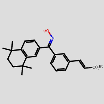 CCOC(=O)/C=C/c1cccc(/C(=N/O)c2ccc3c(c2)C(C)(C)CCC3(C)C)c1